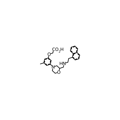 Cc1cc(OCC(=O)O)cc(N2CCOC(CNCCc3cccc4ccccc34)C2)c1